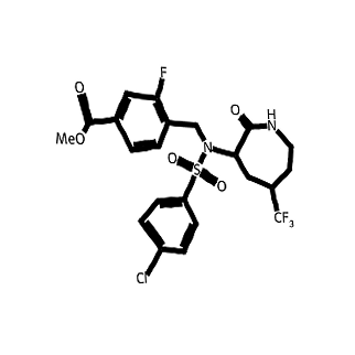 COC(=O)c1ccc(CN(C2CC(C(F)(F)F)CCNC2=O)S(=O)(=O)c2ccc(Cl)cc2)c(F)c1